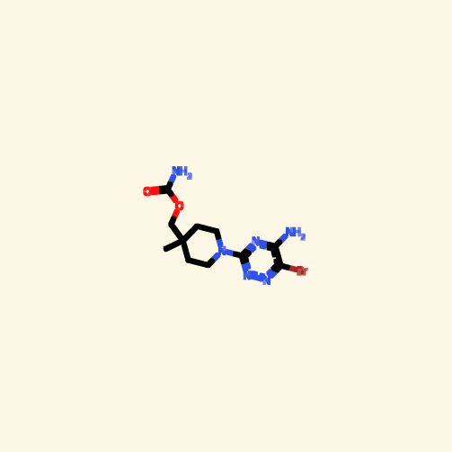 CC1(COC(N)=O)CCN(c2nnc(Br)c(N)n2)CC1